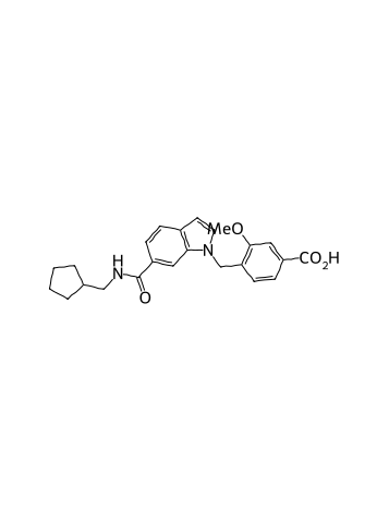 COc1cc(C(=O)O)ccc1Cn1ccc2ccc(C(=O)NCC3CCCC3)cc21